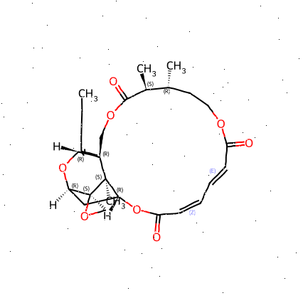 CC1=C[C@H]2O[C@@H]3C[C@H]4OC(=O)/C=C\C=C\C(=O)OCC[C@@H](C)[C@H](C)C(=O)OC[C@@]2(CC1)[C@]4(C)[C@]31CO1